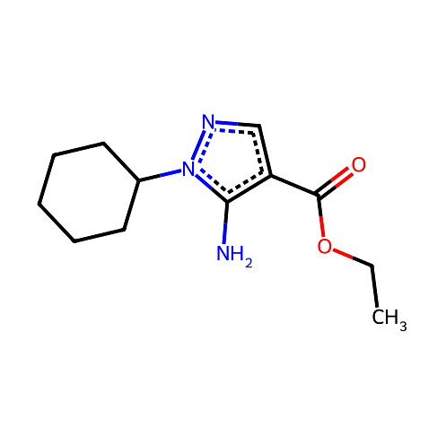 CCOC(=O)c1cnn(C2CCCCC2)c1N